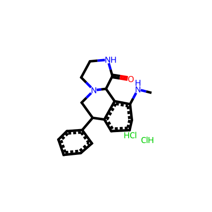 CNc1cccc2c1C1C(=O)NCCN1CC2c1ccccc1.Cl.Cl